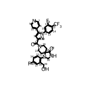 O=C(c1cc(-c2ccncc2)n(-c2ccc(C(F)(F)F)c(F)c2)n1)N1CCC2(CC1)C(=O)NCN2c1ccc(F)cc1CO